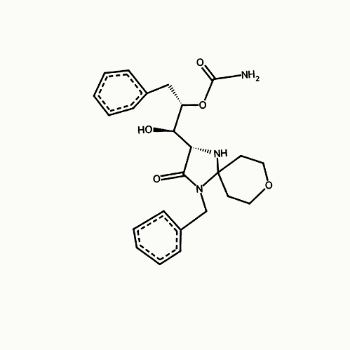 NC(=O)O[C@@H](Cc1ccccc1)[C@H](O)[C@@H]1NC2(CCOCC2)N(Cc2ccccc2)C1=O